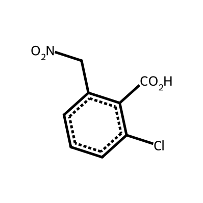 O=C(O)c1c(Cl)cccc1C[N+](=O)[O-]